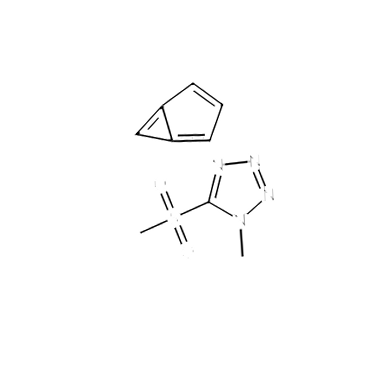 Cn1nnnc1S(C)(=O)=O.c1cc2cc-2c1